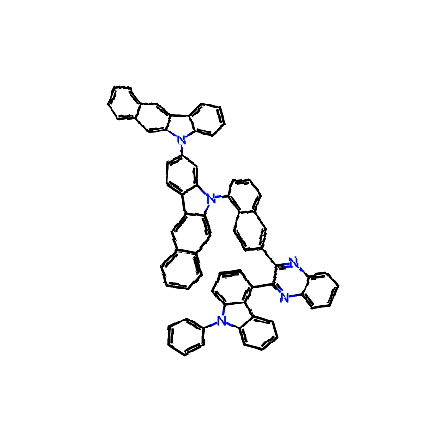 c1ccc(-n2c3ccccc3c3c(-c4nc5ccccc5nc4-c4ccc5c(-n6c7cc(-n8c9ccccc9c9cc%10ccccc%10cc98)ccc7c7cc8ccccc8cc76)cccc5c4)cccc32)cc1